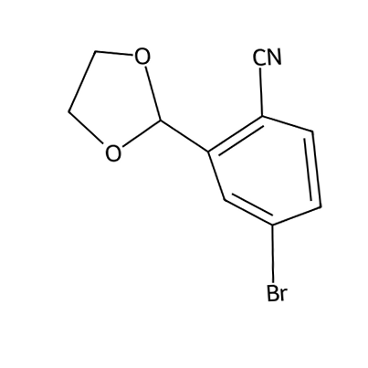 N#Cc1ccc(Br)cc1C1OCCO1